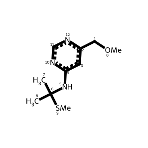 COCc1cc(NC(C)(C)SC)ncn1